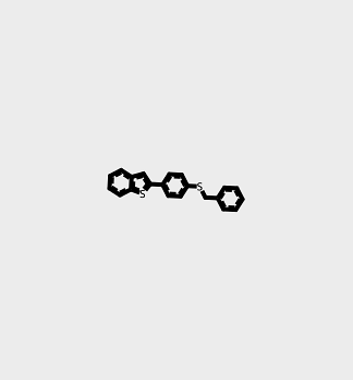 c1ccc(CSc2ccc(-c3cc4ccccc4s3)cc2)cc1